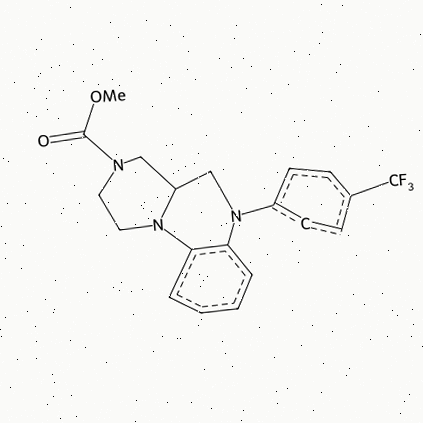 COC(=O)N1CCN2c3ccccc3N(c3ccc(C(F)(F)F)cc3)CC2C1